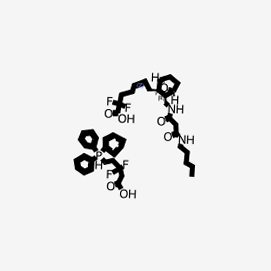 CCCCCNC(=O)CC(=O)NC[C@H]1[C@@H](C/C=C\CCC(F)(F)C(=O)O)[C@H]2CC[C@@H]1O2.O=C(O)CC(F)(F)CC[PH](c1ccccc1)(c1ccccc1)c1ccccc1